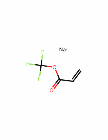 C=CC(=O)OC(F)(F)F.[Na]